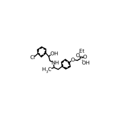 CCOP(=O)(O)COc1ccc(CC(C)NCC(O)c2cccc(Cl)c2)cc1